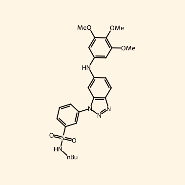 CCCCNS(=O)(=O)c1cccc(-n2nnc3ccc(Nc4cc(OC)c(OC)c(OC)c4)cc32)c1